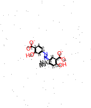 O=C([O-])c1ccc(N=Nc2ccc(O)c(C(=O)[O-])c2)cc1O.[Na+].[Na+]